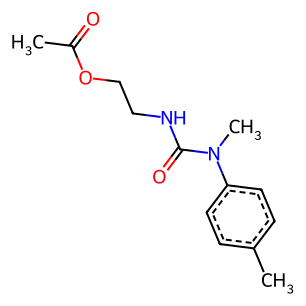 CC(=O)OCCNC(=O)N(C)c1ccc(C)cc1